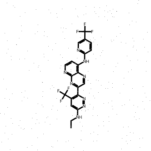 CCNc1cc(C(F)(F)F)c(-c2cnc3c(Nc4ccc(C(F)(F)F)cn4)ccnc3n2)nn1